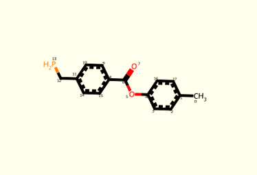 Cc1ccc(OC(=O)c2ccc(CP)cc2)cc1